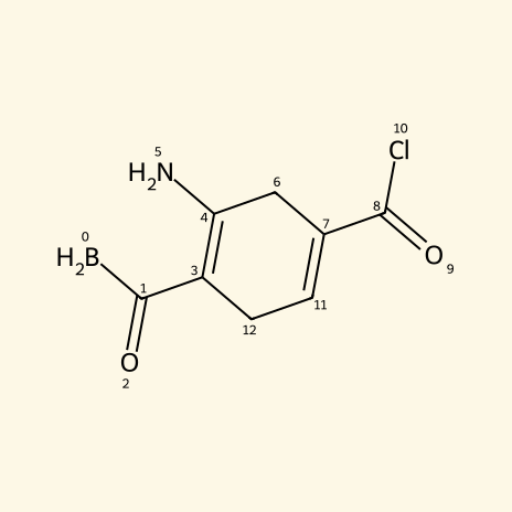 BC(=O)C1=C(N)CC(C(=O)Cl)=CC1